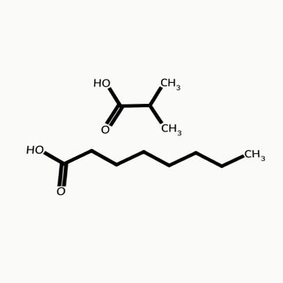 CC(C)C(=O)O.CCCCCCCC(=O)O